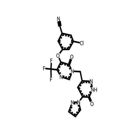 N#Cc1cc(Cl)cc(Oc2c(C(F)(F)F)ncn(Cc3cc(-n4cccn4)c(=O)[nH]n3)c2=O)c1